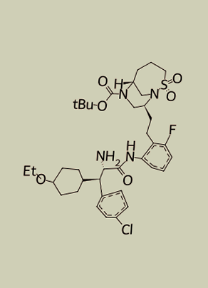 CCOC1CCC([C@H](c2ccc(Cl)cc2)[C@H](N)C(=O)Nc2cccc(F)c2CC[C@H]2CN(C(=O)OC(C)(C)C)[C@@H]3CCCS(=O)(=O)N2C3)CC1